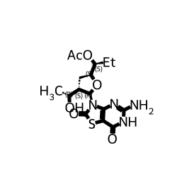 CC[C@H](OC(C)=O)[C@@H]1C[C@@H]([C@@H](C)O)[C@H](n2c(=O)sc3c(=O)[nH]c(N)nc32)O1